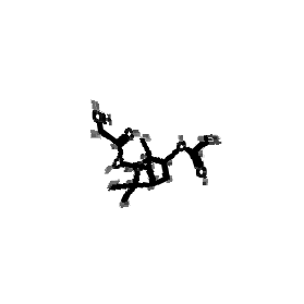 CCC(=O)OC1CC2CC(OC(=O)CO)C1(C)OC2(C)C